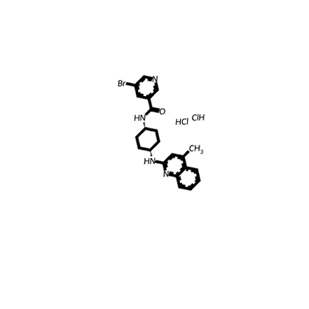 Cc1cc(N[C@H]2CC[C@@H](NC(=O)c3cncc(Br)c3)CC2)nc2ccccc12.Cl.Cl